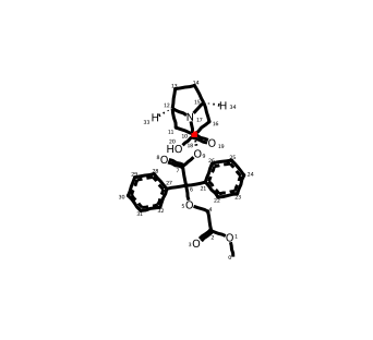 COC(=O)COC(C(=O)O[C@@H]1C[C@H]2CC[C@@H](C1)N2C(=O)O)(c1ccccc1)c1ccccc1